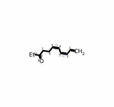 C=C/C=C\C=C/CCC(=O)CC